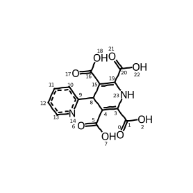 O=C(O)C1=C(C(=O)O)C(c2ccccn2)C(C(=O)O)=C(C(=O)O)N1